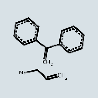 C=C(c1ccccc1)c1ccccc1.C=C[CH2][Na]